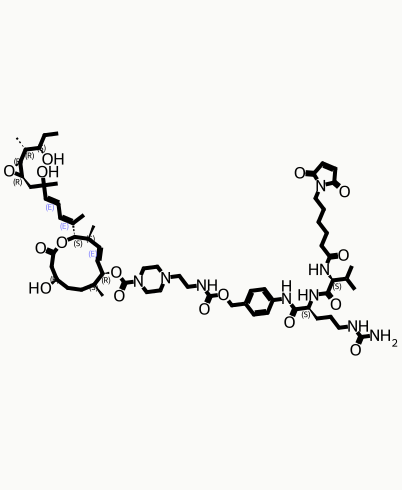 CC[C@H](O)[C@@H](C)[C@H]1O[C@@H]1CC(C)(O)/C=C/C=C(\C)[C@H]1OC(=O)C[C@H](O)CC[C@H](C)[C@@H](OC(=O)N2CCN(CCNC(=O)OCc3ccc(NC(=O)[C@H](CCCNC(N)=O)NC(=O)[C@@H](NC(=O)CCCCCN4C(=O)C=CC4=O)C(C)C)cc3)CC2)/C=C/[C@@H]1C